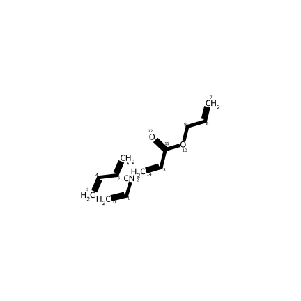 C=CC#N.C=CC=C.C=CCOC(=O)C=C